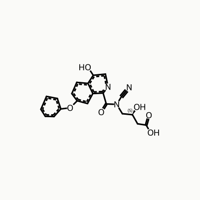 N#CN(C[C@@H](O)CC(=O)O)C(=O)c1ncc(O)c2ccc(Oc3ccccc3)cc12